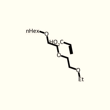 C=CC(=O)O.CCCCCCOCCOCCOCC